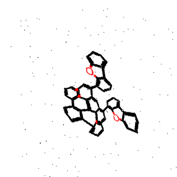 c1ccc(-c2cccc(-c3ccccc3)c2-c2c3cccc(-c4cccc5c4oc4ccccc45)c3cc3c(-c4cccc5c4oc4ccccc45)cccc23)cc1